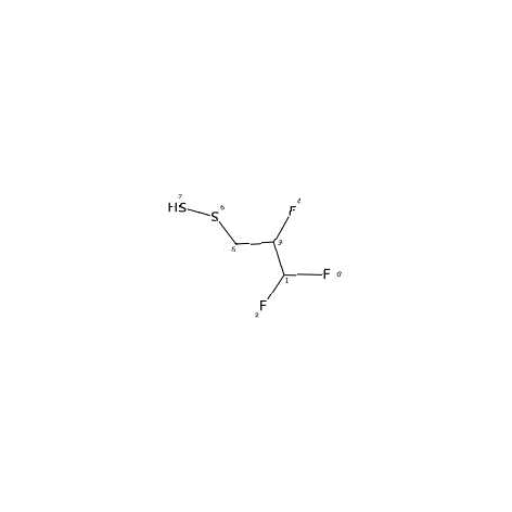 FC(F)C(F)CSS